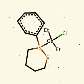 C[CH2][Ge]([Cl])([CH2]C)[S]1(c2ccccc2)CCCCS1